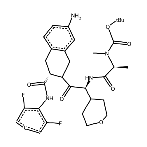 C[C@@H](C(=O)N[C@H](C(=O)C1Cc2cc(N)ccc2C[C@H]1C(=O)Nc1c(F)cccc1F)C1CCOCC1)N(C)C(=O)OC(C)(C)C